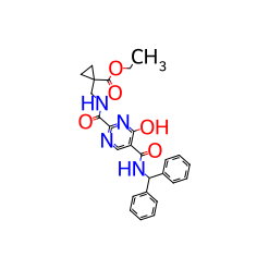 CCOC(=O)C1(CNC(=O)c2ncc(C(=O)NC(c3ccccc3)c3ccccc3)c(O)n2)CC1